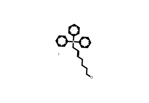 ClCCCCC=CC[P+](c1ccccc1)(c1ccccc1)c1ccccc1.[I-]